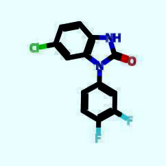 O=c1[nH]c2ccc(Cl)cc2n1-c1ccc(F)c(F)c1